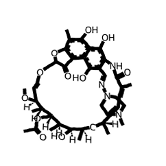 CO[C@H]1/C=C/O[C@@]2(C)Oc3c(C)c(O)c4c(O)c(c(/C=N/N5CCN(C)CC5)c(O)c4c3C2=O)NC(=O)/C(C)=C\C=C\[C@H](C)C[C@@H](C)[C@@H](O)[C@@H](C)[C@H](OC(C)=O)[C@@H]1C